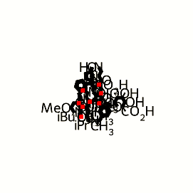 CC[C@H](C)[C@@H]([C@@H](CC(=O)N1CCCC1[C@H](OC)[C@@H](C)C(=O)N[C@@H](Cc1ccccc1)C(=O)O)OC)N(C)C(=O)C(NC(=O)C(C(C)C)[N+](C)(C)Cc1ccc(O[C@@H]2O[C@H](C(=O)O)[C@@H](O)[C@H](O)[C@H]2O)c(NC(=O)CCNC(=O)C(CN)N2C(=O)C=CC2=O)c1)C(C)C